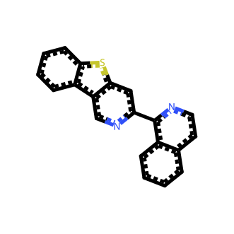 c1ccc2c(-c3cc4sc5ccccc5c4cn3)nccc2c1